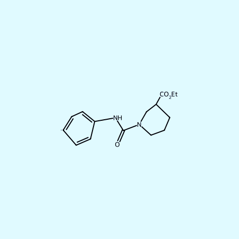 CCOC(=O)C1CCCN(C(=O)Nc2cc[c]cc2)C1